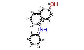 Oc1ccc2c(Nc3ccccc3)cccc2c1